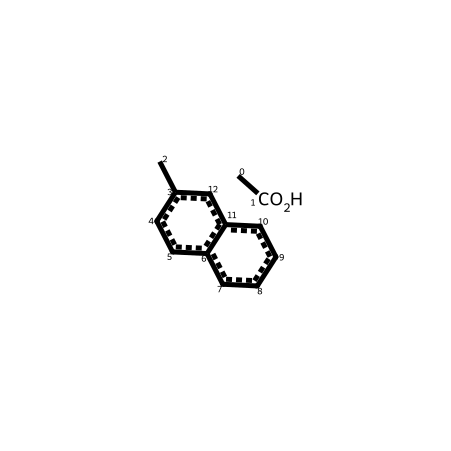 CC(=O)O.Cc1ccc2ccccc2c1